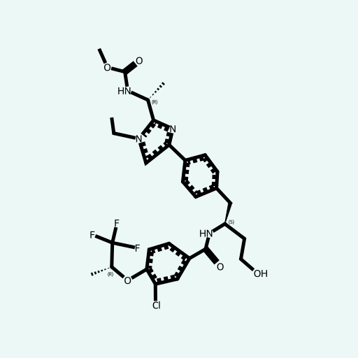 CCn1cc(-c2ccc(C[C@@H](CCO)NC(=O)c3ccc(O[C@H](C)C(F)(F)F)c(Cl)c3)cc2)nc1[C@@H](C)NC(=O)OC